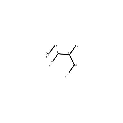 CC(C)C.CC(CF)CF